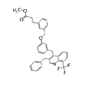 COC(=O)CCc1cccc(COc2cccc(Cc3c(Cc4ccccc4)cnc4c(C(F)(F)F)cccc34)c2)c1